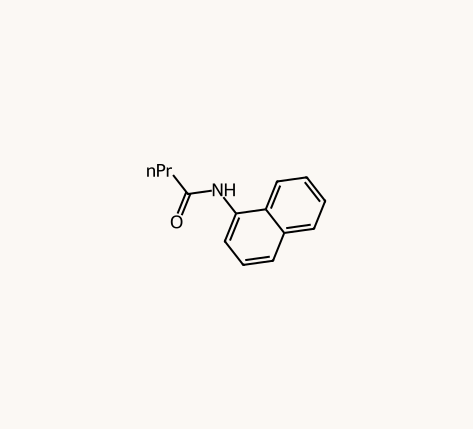 CCCC(=O)Nc1cccc2ccccc12